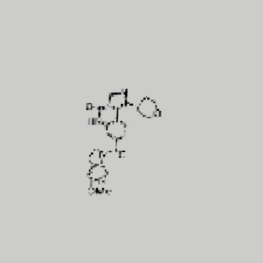 COc1cc2c(cn1)N(C(=O)c1ccc3c(c1)[nH]c(=O)c1cnn(C4CCOCC4)c13)CC2